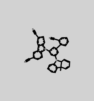 CC12C=CC=CC1N(c1cc(-c3ccccc3C#N)cc(-n3c4ccc(C#N)cc4c4cc(C#N)ccc43)c1)c1ccccc12